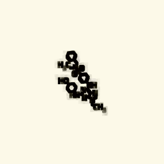 CCN(Cc1ccccc1)S(=O)(=O)c1ccc(Nc2nc(NC3CCC(O)CC3)nc3c2ncn3CC)cc1